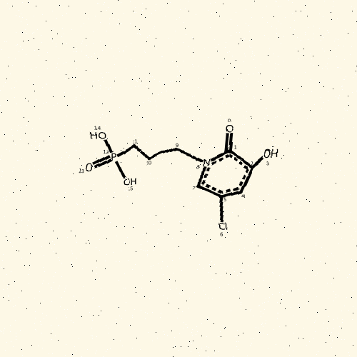 O=c1c(O)cc(Cl)cn1CCCP(=O)(O)O